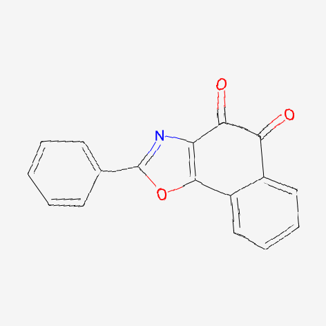 O=C1C(=O)c2nc(-c3ccccc3)oc2-c2ccccc21